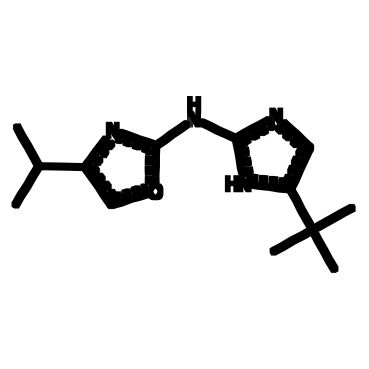 CC(C)c1coc(Nc2ncc(C(C)(C)C)[nH]2)n1